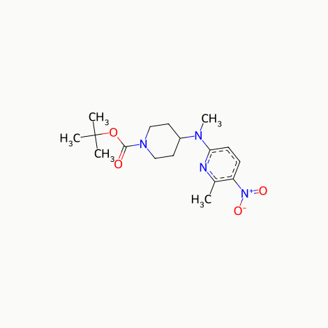 Cc1nc(N(C)C2CCN(C(=O)OC(C)(C)C)CC2)ccc1[N+](=O)[O-]